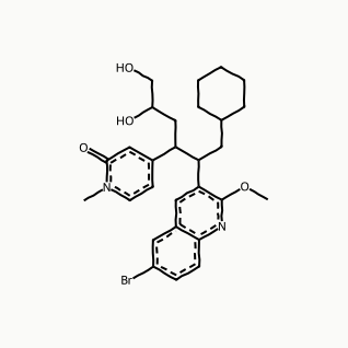 COc1nc2ccc(Br)cc2cc1C(CC1CCCCC1)C(CC(O)CO)c1ccn(C)c(=O)c1